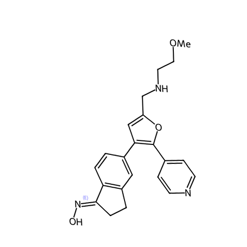 COCCNCc1cc(-c2ccc3c(c2)CC/C3=N\O)c(-c2ccncc2)o1